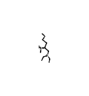 CCCCC(CN(CC)CC)N(C)I